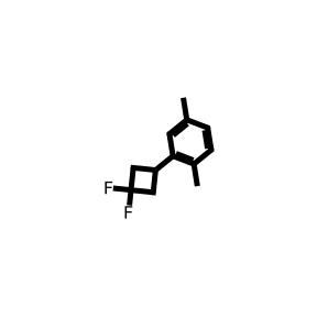 Cc1ccc(C)c(C2CC(F)(F)C2)c1